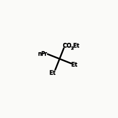 CCCC(CC)(CC)C(=O)OCC